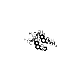 CC(=O)N(C)c1ccc2c(c1)CC/C(=C/N(C)C)C2=O.CC(=O)N(C)c1ccc2c(c1)CC/C(=C/N1CCCC1)C2=O